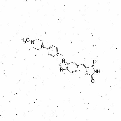 CN1CCN(c2ccc(Cn3cnc4ccc(/C=C5\SC(=O)NC5=O)cc43)cc2)CC1